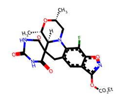 CCOC(=O)Oc1noc2c(F)c3c(cc12)CC1(C(=O)NC(=O)NC1=O)[C@H]1[C@H](C)O[C@H](C)CN31